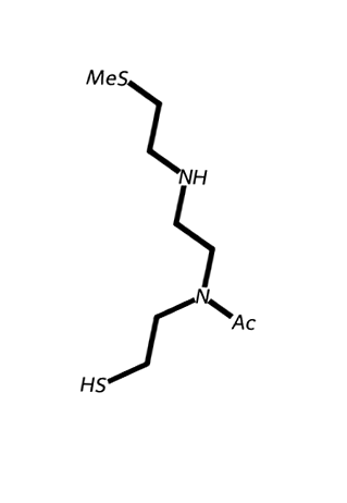 CSCCNCCN(CCS)C(C)=O